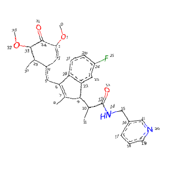 COC1=CC(=CC2=C(C)C(C(C)C(=O)NCc3cccnc3)c3cc(F)ccc32)C(C)C(OC)C1=O